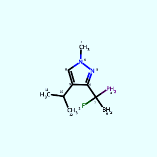 BC(F)(P)c1nn(C)cc1C(C)C